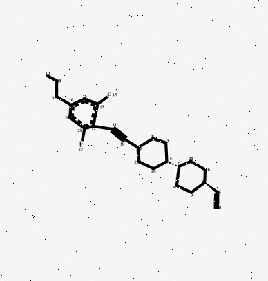 C=C[C@H]1CC[C@H](C2CCC(C#Cc3c(F)cc(CCC)cc3F)CC2)CC1